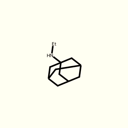 [CH2]CNC12CC3CC(CC(C3)C1)C2